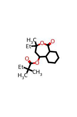 CCC1(C)CC(OC(=O)C(C)(C)CC)C2CCCCC2C(=O)O1